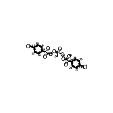 CP(=O)(OOS(=O)(=O)c1ccc(Cl)cc1)OOS(=O)(=O)c1ccc(Cl)cc1